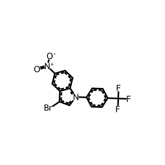 O=[N+]([O-])c1ccc2c(c1)c(Br)cn2-c1ccc(C(F)(F)F)cc1